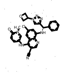 Cn1cc(Nc2c(C#N)cnc3c(N[C@@H](c4ccccc4)c4cn(C5COC5)nn4)cc(Cl)cc23)ccc1=O